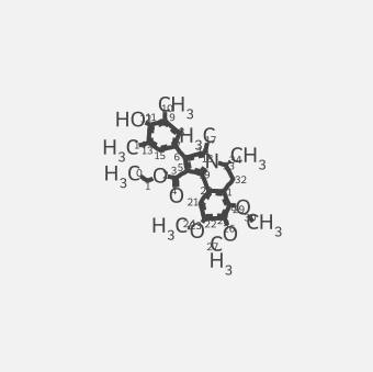 CCOC(=O)c1c(-c2cc(C)c(O)c(C)c2)c(C)n2c1-c1cc(OC)c(OC)c(OC)c1C[C@@H]2C